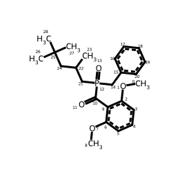 COc1cccc(OC)c1C(=O)P(=O)(Cc1ccccc1)CC(C)CC(C)(C)C